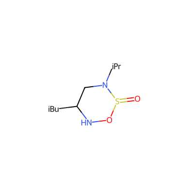 CCC(C)C1CN(C(C)C)S(=O)ON1